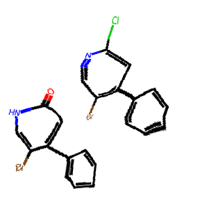 Clc1cc(-c2ccccc2)c(Br)cn1.O=c1cc(-c2ccccc2)c(Br)c[nH]1